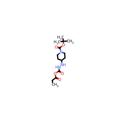 CCC(=O)OC(=O)NNC1CCN(C(=O)OC(C)(C)C)CC1